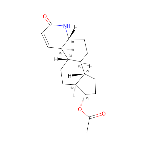 CC(=O)O[C@H]1CC[C@H]2[C@@H]3CC[C@H]4NC(=O)C=C[C@]4(C)[C@H]3CC[C@]12C